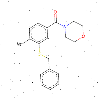 N#Cc1ccc(C(=O)N2CCOCC2)cc1SCc1ccccc1